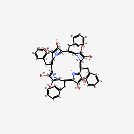 BrC1=C(Br)c2nc1c(Cc1ccccc1)c1[nH]c(c(Br)c1Br)c(Cc1ccccc1)c1nc(c(Cc3ccccc3)c3[nH]c(c(Br)c3Br)c2Cc2ccccc2)C(Br)=C1Br